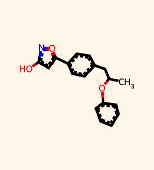 CC(Cc1ccc(-c2cc(O)no2)cc1)Oc1ccccc1